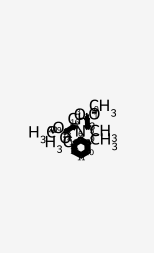 COC(=O)C(C)N(c1c(C)cccc1C)C(C)C(=O)OC